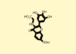 CCCCCCCCCCc1ccc2c(=O)c(NCC(=O)O)c(-c3cc(O)c(O)c(O)c3)oc2c1